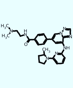 CC1CCCN1c1cccc(Nc2cc(-c3ccc(C(=O)NCCN(C)C)cc3)cn3ncnc23)n1